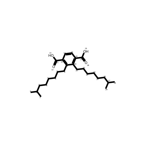 CC(C)CCCCCCc1c(C(=O)O)ccc(C(=O)O)c1CCCCCCC(C)C